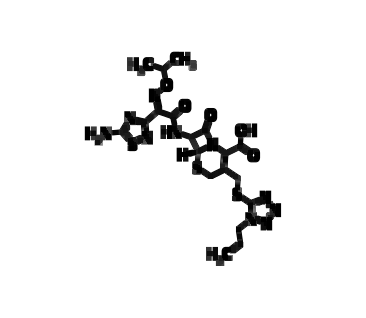 C=CCn1nnnc1SCC1=C(C(=O)O)N2C(=O)C(NC(=O)/C(=N\OC(C)C)c3nsc(N)n3)[C@H]2SC1